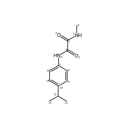 CNC(=O)C(=O)Nc1ccc(C(C)C)cc1